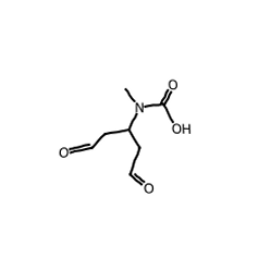 CN(C(=O)O)C(CC=O)CC=O